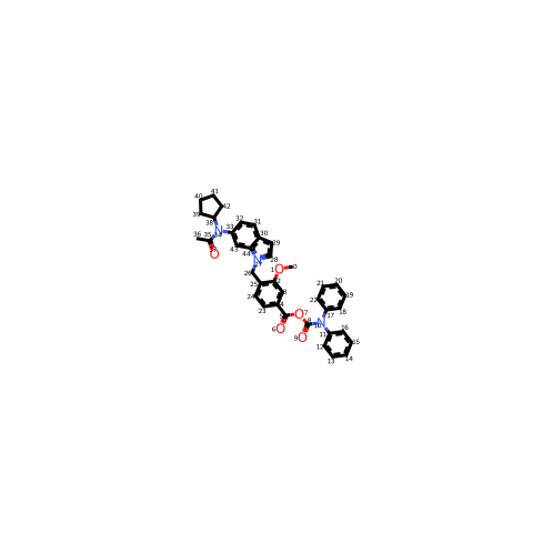 COc1cc(C(=O)OC(=O)N(c2ccccc2)c2ccccc2)ccc1Cn1ccc2ccc(N(C(C)=O)C3CCCC3)cc21